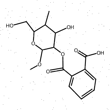 COC1OC(CO)C(C)C(O)C1OC(=O)c1ccccc1C(=O)O